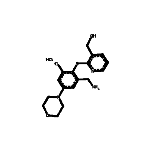 Cl.NCc1cc(N2CCOCC2)cc(Cl)c1Sc1ncccc1CO